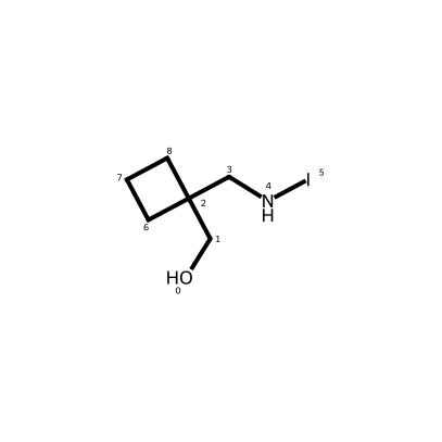 OCC1(CNI)CCC1